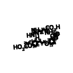 CC(C)(Oc1ccc(CCCOc2cccc(OS(C)(=O)=O)c2)cc1)C(=O)O.N=C(N)NCCCC(N)C(=O)O